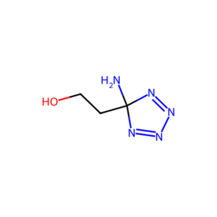 NC1(CCO)N=NN=N1